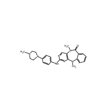 CN1CCN(c2ccc(Nc3ncc4c(n3)N(C)c3ccccc3C(=O)N4C)cc2)CC1